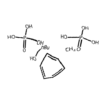 C.CCCCO.O=P(O)(O)O.O=P(O)(O)O.c1ccccc1